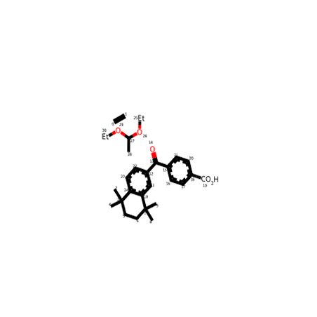 C=C.CC1(C)CCC(C)(C)c2cc(C(=O)c3ccc(C(=O)O)cc3)ccc21.CCOC(C)OCC